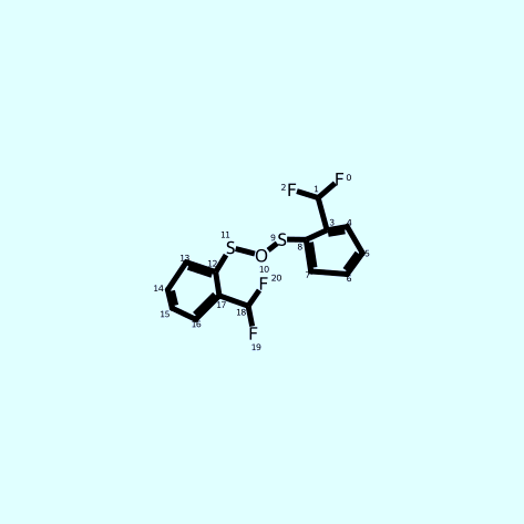 FC(F)c1ccccc1SOSc1ccccc1C(F)F